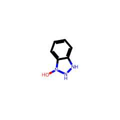 ON1NNc2ccccc21